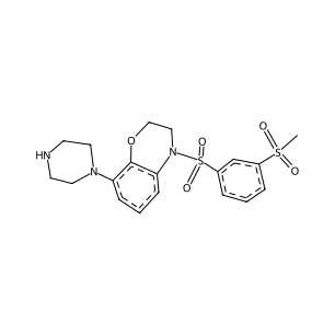 CS(=O)(=O)c1cccc(S(=O)(=O)N2CCOc3c(N4CCNCC4)cccc32)c1